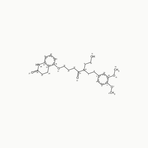 COc1ccc(CCN(CCO)C(=O)CCCOc2cccc3c2CCC(=O)N3)cc1OC